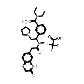 CCN(CC)C(=O)c1cccc(C(CN2CC[C@H](O)C2)N(C)C(=O)Cc2ccc3ncc(=O)[nH]c3c2)c1.O=C(O)C(F)(F)F